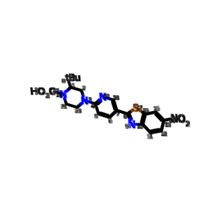 CC(C)(C)C1CN(c2ccc(-c3nc4ccc([N+](=O)[O-])cc4s3)cn2)CCN1C(=O)O